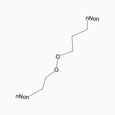 CCCCCCCCCCCCOOCCCCCCCCCCC